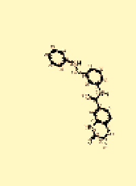 C[C@H]1Sc2ccc(C(=O)Nc3cccc(SNc4ccccc4)c3)cc2NC1=O